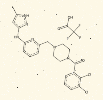 Cc1cc(Nc2cccc(CN3CCN(C(=O)c4cccc(Cl)c4Cl)CC3)n2)n[nH]1.O=C(O)C(F)(F)F